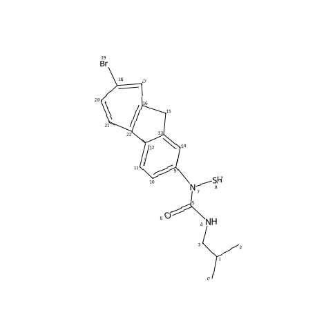 CC(C)CNC(=O)N(S)c1ccc2c(c1)Cc1cc(Br)ccc1-2